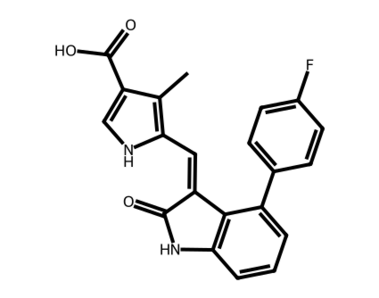 Cc1c(C(=O)O)c[nH]c1/C=C1\C(=O)Nc2cccc(-c3ccc(F)cc3)c21